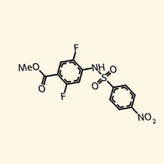 COC(=O)c1cc(F)c(NS(=O)(=O)c2ccc([N+](=O)[O-])cc2)cc1F